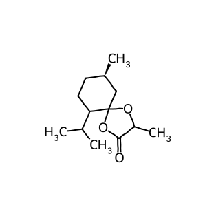 CC1OC2(C[C@H](C)CCC2C(C)C)OC1=O